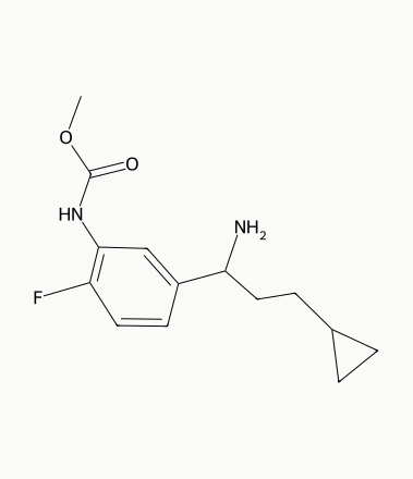 COC(=O)Nc1cc(C(N)CCC2CC2)ccc1F